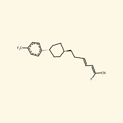 N#C/C(F)=C/C=C/CC[C@H]1CC[C@H](c2ccc(C(F)(F)F)cc2)CC1